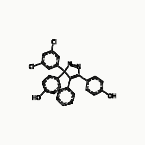 Oc1ccc(C2=C(c3ccccc3)C(c3ccc(O)cc3)(c3cc(Cl)cc(Cl)c3)N=N2)cc1